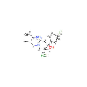 CC(CN1CC[C@](O)(c2ccc(Cl)cc2)C(C)(C)C1)C(N)C=O.Cl